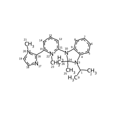 CC(C)N1c2ccccc2N(c2cccc(-c3nccn3C)[n+]2C)C1(C)C